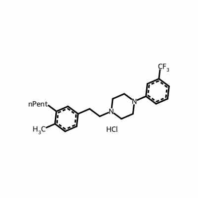 CCCCCc1cc(CCN2CCN(c3cccc(C(F)(F)F)c3)CC2)ccc1C.Cl